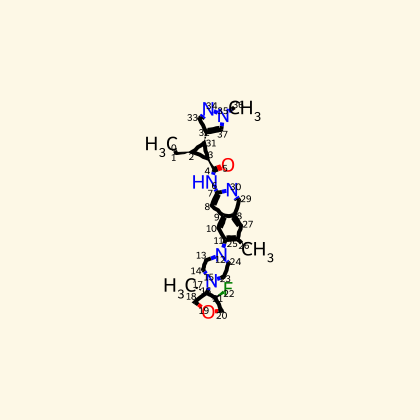 CC[C@@H]1[C@H](C(=O)Nc2cc3cc(N4CCN([C@]5(C)COC[C@@H]5F)CC4)c(C)cc3cn2)[C@H]1c1cnn(C)c1